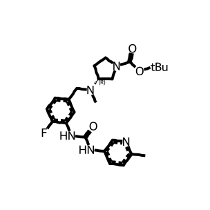 Cc1ccc(NC(=O)Nc2cc(CN(C)[C@@H]3CCN(C(=O)OC(C)(C)C)C3)ccc2F)cn1